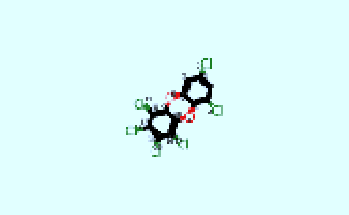 Clc1cc(Cl)c2c(c1)Oc1c(Cl)c(Cl)c(Cl)c(Cl)c1O2